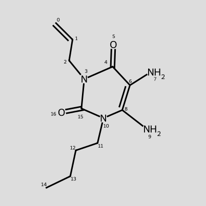 C=CCn1c(=O)c(N)c(N)n(CCCC)c1=O